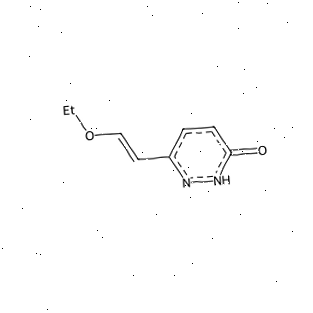 CCOC=Cc1ccc(=O)[nH]n1